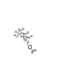 CC1(C)S[C@@H]2C(NC(=O)OCc3ccc([N+](=O)[O-])cc3)C(=O)N2[C@H]1C(=O)[O-].[K+]